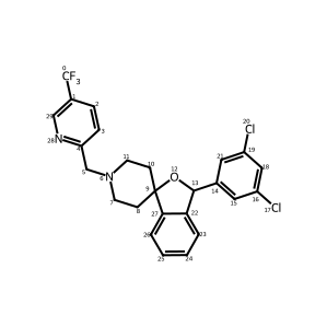 FC(F)(F)c1ccc(CN2CCC3(CC2)OC(c2cc(Cl)cc(Cl)c2)c2ccccc23)nc1